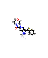 O=C(c1cc2c(cn1)c(-c1csc3ccccc13)nn2CC(F)(F)F)N1CCCOCC1